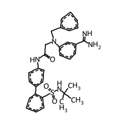 CC(C)(C)NS(=O)(=O)c1ccccc1-c1ccc(NC(=O)CN(Cc2ccccc2)c2cccc(C(=N)N)c2)cc1